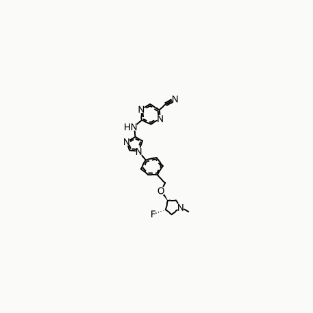 CN1C[C@H](OCc2ccc(-n3cnc(Nc4cnc(C#N)cn4)c3)cc2)[C@@H](F)C1